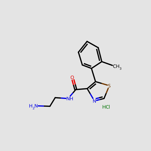 Cc1ccccc1-c1scnc1C(=O)NCCN.Cl